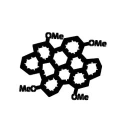 COc1ccc2c3c(OC)cc4cccc5c6c(OC)ccc7c8c(OC)cc9cccc%10c1c2c(c8c9%10)c(c76)c3c45